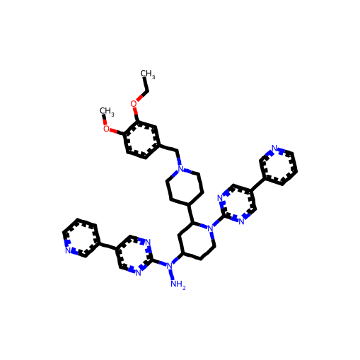 CCOc1cc(CN2CCC(C3CC(N(N)c4ncc(-c5cccnc5)cn4)CCN3c3ncc(-c4cccnc4)cn3)CC2)ccc1OC